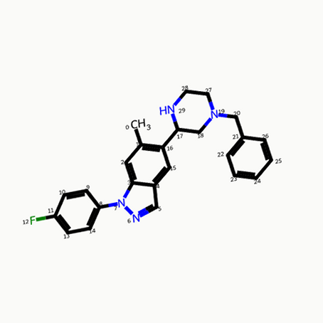 Cc1cc2c(cnn2-c2ccc(F)cc2)cc1C1CN(Cc2ccccc2)CCN1